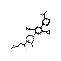 CNc1cccc(-c2cc(C#N)c(N3CCN(C(=O)CCOC)C(C)C3)nc2C2CC2)c1